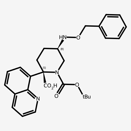 CC(C)(C)OC(=O)N1C[C@H](NOCc2ccccc2)CC[C@@]1(C(=O)O)c1cccc2cccnc12